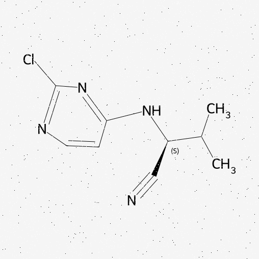 CC(C)[C@@H](C#N)Nc1ccnc(Cl)n1